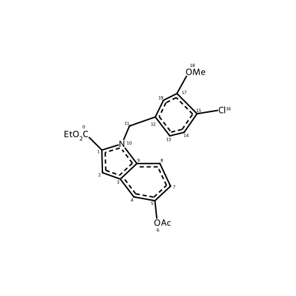 CCOC(=O)c1cc2cc(OC(C)=O)ccc2n1Cc1ccc(Cl)c(OC)c1